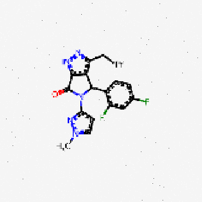 CC(C)Cc1n[nH]c2c1C(c1ccc(F)cc1F)N(c1ccn(C)n1)C2=O